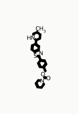 C[C@H]1CCC(c2ccc3sc(-c4ccc(COC(=O)N5CC=CCC5)cc4)nc3c2)NC1